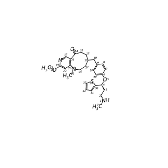 CNCC[C@H](Oc1ccc(CC2CCC(=O)c3cnc(OC)cc3N(C)CC2)cc1)c1cccs1